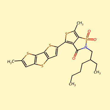 CCCCC(CC)CN1C(=O)c2c(-c3cc4sc5cc(C)sc5c4s3)sc(C)c2S1(=O)=O